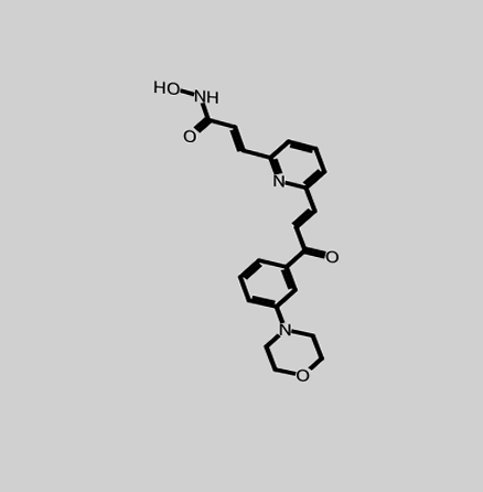 O=C(/C=C/c1cccc(/C=C/C(=O)c2cccc(N3CCOCC3)c2)n1)NO